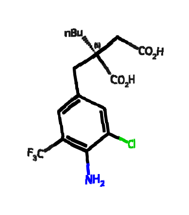 CCCC[C@@](CC(=O)O)(Cc1cc(Cl)c(N)c(C(F)(F)F)c1)C(=O)O